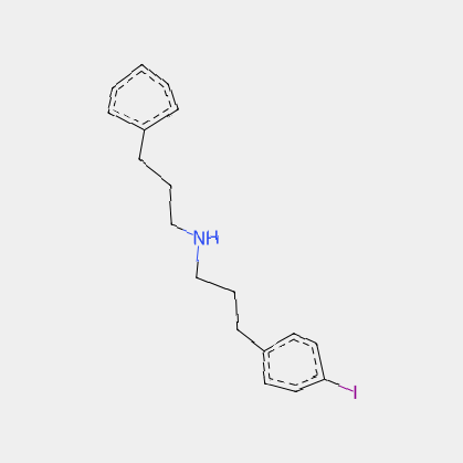 Ic1ccc(CCCNCCCc2ccccc2)cc1